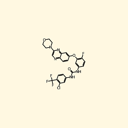 O=C(Nc1ccc(C(F)(F)F)c(Cl)c1)Nc1ccc(F)c(Oc2ccc3ncc(N4CCOCC4)nc3c2)c1